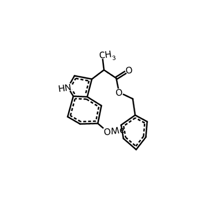 COc1ccc2[nH]cc(C(C)C(=O)OCc3ccccc3)c2c1